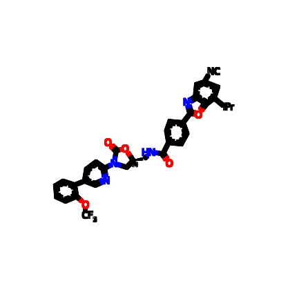 [C-]#[N+]c1cc(C(C)C)c2oc(-c3ccc(C(=O)NC[C@@H]4CN(c5ccc(-c6ccccc6OC(F)(F)F)cn5)C(=O)O4)cc3)nc2c1